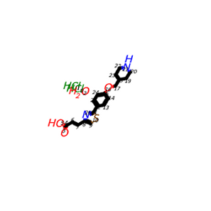 Cl.Cl.O.O=C(O)CCc1csc(-c2ccc(OCC3CCNCC3)cc2)n1